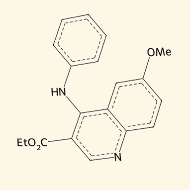 CCOC(=O)c1cnc2ccc(OC)cc2c1Nc1ccccc1